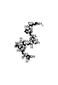 CC(C)C[C@H](NC(=O)CNC(=O)[C@@H](NC(=O)[C@H](CCC(N)=O)NC(=O)CNC(=O)[C@@H]1C[C@@H](O)CN1)C(C)O)C(=O)N[C@@H](C)C(=O)NCC(=O)N1CCC[C@H]1C(=O)N[C@@H](CCCCN)C(=O)O